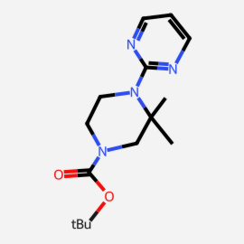 CC(C)(C)OC(=O)N1CCN(c2ncccn2)C(C)(C)C1